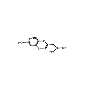 CCCN(CCC)CC1=COc2cc(O)ccc2O1